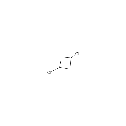 Cl[C]1CC(Cl)C1